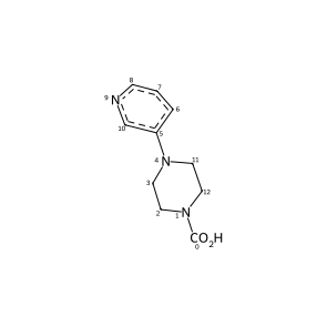 O=C(O)N1CCN(c2cccnc2)CC1